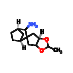 CC1OC2CC3(C[C@H]2O1)[C@H]1CC[C@H](C1)[C@H]3N